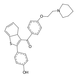 O=C(C1=C(c2ccc(O)cc2)SC2=CC=CCC21)c1ccc(OCCN2CCCCC2)cc1